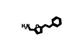 NCc1ccc(CCc2ccccc2)o1